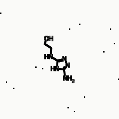 Nc1nnc(NCCO)[nH]1